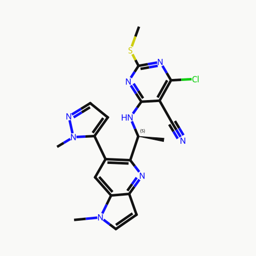 CSc1nc(Cl)c(C#N)c(N[C@@H](C)c2nc3ccn(C)c3cc2-c2ccnn2C)n1